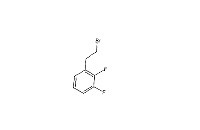 Fc1cc[c]c(CCBr)c1F